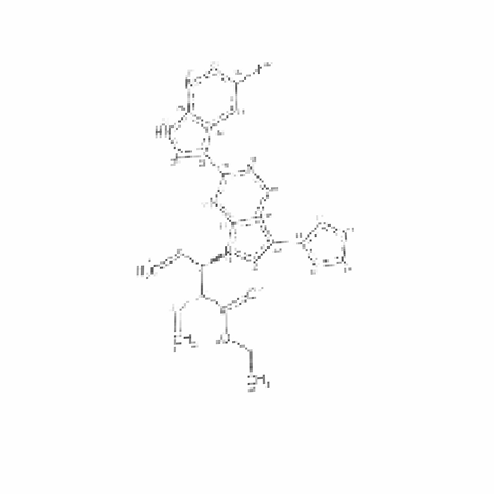 C=C[C@H]([C@@H](C=C)C(=O)OCC)n1cc(-c2ccsc2)c2cnc(-c3c[nH]c4ncc(F)cc34)nc21